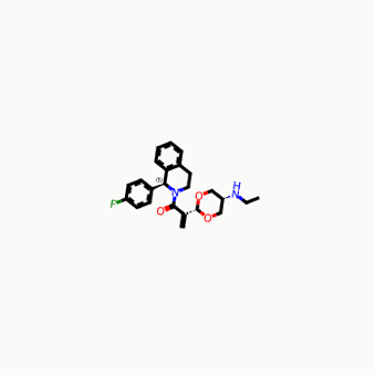 C=C(C(=O)N1CCc2ccccc2[C@@H]1c1ccc(F)cc1)[C@H]1OC[C@@H](NCC)CO1